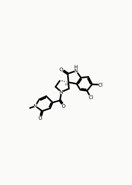 Cn1ccc(C(=O)N2CC[C@]3(C2)C(=O)Nc2cc(Cl)c(Cl)cc23)cc1=O